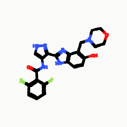 O=C(Nc1c[nH]nc1-c1nc2c(CN3CCOCC3)c(O)ccc2[nH]1)c1c(F)cccc1F